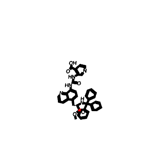 COC(=O)[C@H](Cc1ccc(NC(=O)Nc2cnccc2C(=O)O)c2ncccc12)NC(c1ccccc1)(c1ccccc1)c1ccccc1